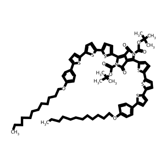 CCCCCCCCCCCCOc1ccc(-c2ccc(-c3ccc(-c4ccc(C5=C6C(=O)N(C(=O)OC(C)(C)C)C(c7ccc(-c8ccc(-c9ccc(-c%10ccc(OCCCCCCCCCCCC)cc%10)s9)s8)s7)=C6C(=O)N5C(=O)OC(C)(C)C)s4)s3)s2)cc1